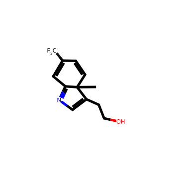 CC12C=CC(C(F)(F)F)=CC1=NC=C2CCO